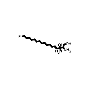 CC(C)CCCCCCCCCCCC/C=C/C(N)(O)C(N)CO